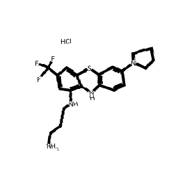 Cl.NCCCNc1cc(C(F)(F)F)cc2c1Nc1ccc(N3CCCC3)cc1S2